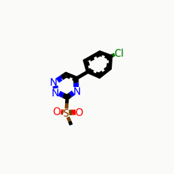 CS(=O)(=O)c1nncc(-c2ccc(Cl)cc2)n1